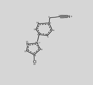 N#CCc1ccc(-n2cc(Cl)cn2)cc1